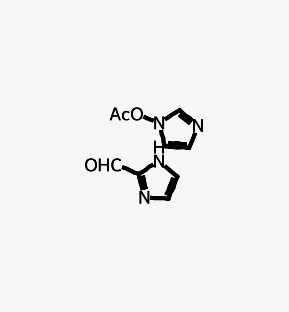 CC(=O)On1ccnc1.O=Cc1ncc[nH]1